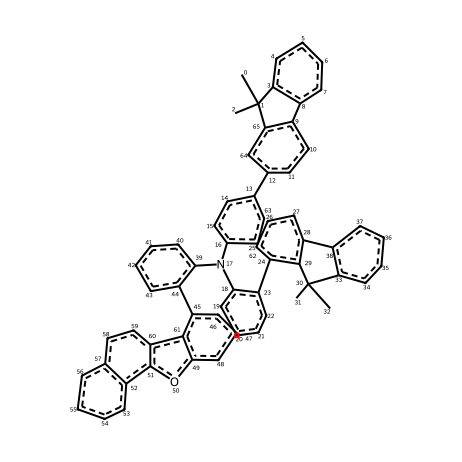 CC1(C)c2ccccc2-c2ccc(-c3ccc(N(c4ccccc4-c4cccc5c4C(C)(C)c4ccccc4-5)c4ccccc4-c4cccc5oc6c7ccccc7ccc6c45)cc3)cc21